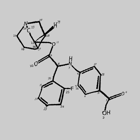 O=C(O)c1ccc(NC(C(=O)O[C@H]2CN3CCC2CC3)c2ccccc2F)cc1